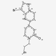 CC(C)CCn1ccc(-c2ccn3ncc(Br)c3n2)cc1=O